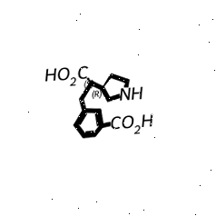 O=C(O)c1cccc(C[C@H](C(=O)O)[C@H]2CCNC2)c1